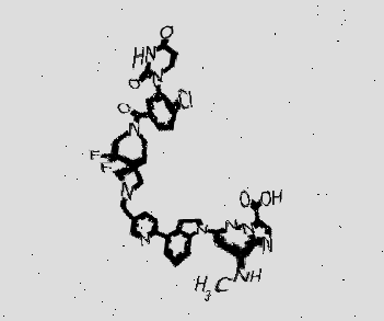 CNc1cc(N2CCc3c(-c4ccc(CN5CC6(CCN(C(=O)c7ccc(Cl)c(N8CCC(=O)NC8=O)c7)CC6(F)F)C5)cn4)cccc32)nn2c(C(=O)O)cnc12